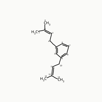 CC(C)=CCc1c[c]cc(CC=C(C)C)c1